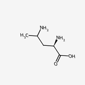 CC(N)C[C@@H](N)C(=O)O